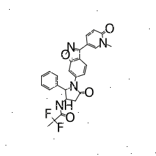 Cn1cc(-c2noc3cc(N4C(=O)CC(NC(=O)C(C)(F)F)C4c4ccccc4)ccc23)ccc1=O